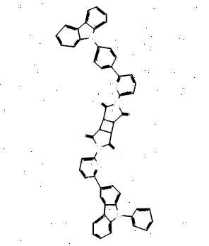 O=C1C2C(C(=O)N1c1cccc(-c3ccc(-n4c5ccccc5c5ccccc54)cc3)n1)C1C(=O)N(c3cccc(-c4ccc5c(c4)c4ccccc4n5-c4ccccc4)n3)C(=O)C21